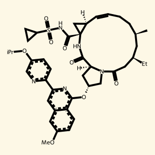 CC[C@H]1CC(=O)N2C[C@H](Oc3nc(-c4ccc(OC(C)C)cn4)cc4cc(OC)ccc34)C[C@H]2C(=O)N[C@]2(C(=O)NS(=O)(=O)C3CC3)C[C@H]2/C=C\CC[C@@H](C)C1